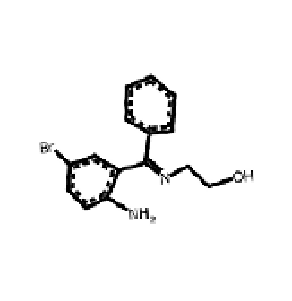 Nc1ccc(Br)cc1/C(=N/CCO)c1ccccc1